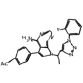 CC(=O)c1ccc(-c2cn(C(C)c3cn(-c4ccccc4F)nn3)c3ncnc(N)c23)cc1